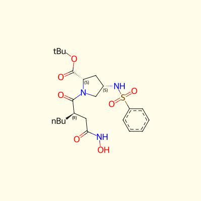 CCCC[C@H](CC(=O)NO)C(=O)N1C[C@@H](NS(=O)(=O)c2ccccc2)C[C@H]1C(=O)OC(C)(C)C